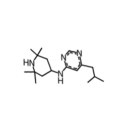 CC(C)Cc1cc(NC2CC(C)(C)NC(C)(C)C2)ncn1